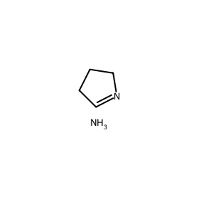 C1=NCCC1.N